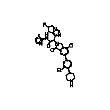 CCc1cc(-c2cc(Cl)c3c(c2)C(=O)N(C(C(=O)Nc2nccs2)c2ncn4c2C[C@@H](F)C4)C3)ccc1C1CCNCC1